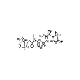 O=C(CC12CC3CC(CC(C3)C1)C2)Nc1ncnc2c1CCN(C(=O)c1ccc(F)cc1F)C2